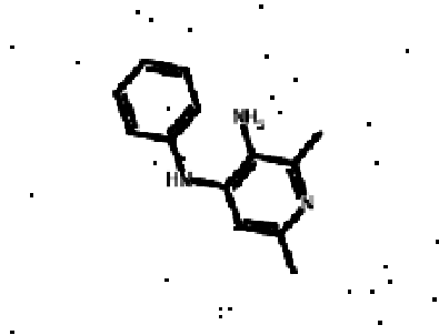 Cc1cc(Nc2ccccc2)c(N)c(C)n1